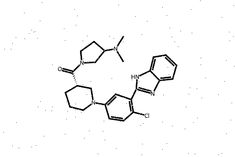 CN(C)C1CCN(C(=O)[C@H]2CCCN(c3ccc(Cl)c(-c4nc5ccccc5[nH]4)c3)C2)C1